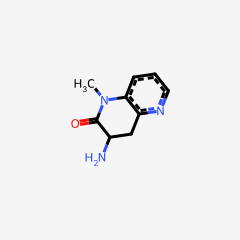 CN1C(=O)C(N)Cc2ncccc21